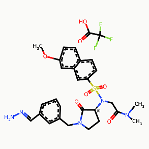 COc1ccc2ccc(S(=O)(=O)N(CC(=O)N(C)C)[C@H]3CCN(Cc4cccc(C=NN)c4)C3=O)cc2c1.O=C(O)C(F)(F)F